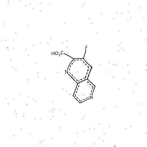 O=C(O)c1nc2ccncc2cc1F